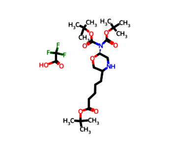 CC(C)(C)OC(=O)CCCCC1CO[C@H](N(C(=O)OC(C)(C)C)C(=O)OC(C)(C)C)CN1.O=C(O)C(F)(F)F